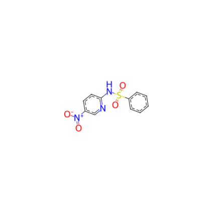 O=[N+]([O-])c1ccc(NS(=O)(=O)c2ccccc2)nc1